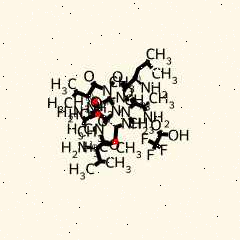 CC(C)C[C@@H](N)C(=O)N(C)[C@](N(C)C(=O)C(C)N)(N(C)C(=O)[C@H](N)C(C)C)N(N(C)C(=O)[C@@H](C)N)[C@@](C(=O)O)(C(N)C(C)C)N(C)C(=O)[C@H](N)C(C)C.O=C(O)C(F)(F)F